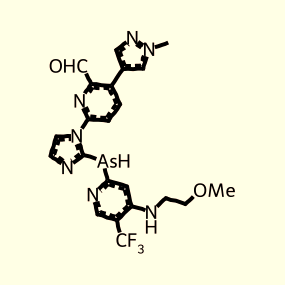 COCCNc1cc([AsH]c2nccn2-c2ccc(-c3cnn(C)c3)c(C=O)n2)ncc1C(F)(F)F